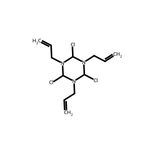 C=CCN1C(Cl)N(CC=C)C(Cl)N(CC=C)C1Cl